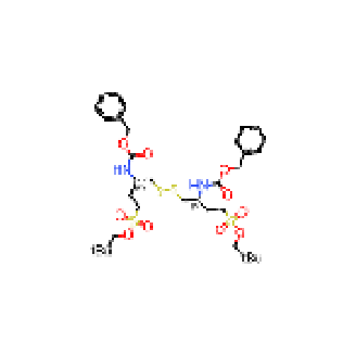 CC(C)(C)COS(=O)(=O)CC[C@@H](CSSC[C@H](CCS(=O)(=O)OCC(C)(C)C)NC(=O)OCc1ccccc1)NC(=O)OCc1ccccc1